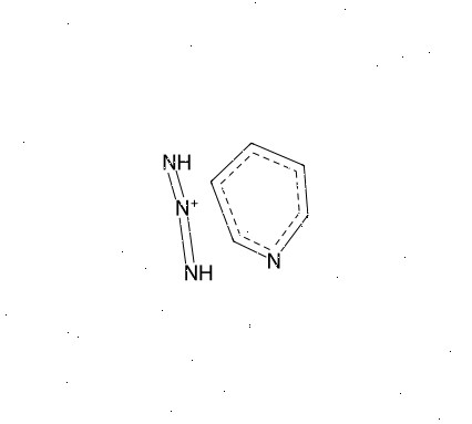 N=[N+]=N.c1ccncc1